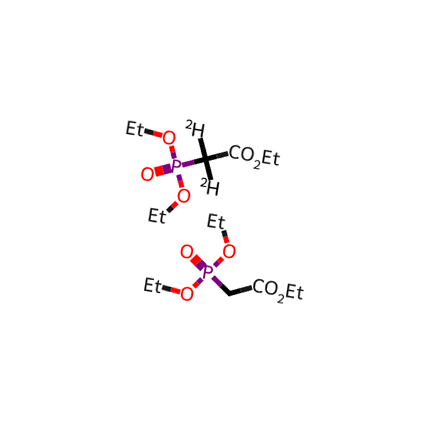 CCOC(=O)CP(=O)(OCC)OCC.[2H]C([2H])(C(=O)OCC)P(=O)(OCC)OCC